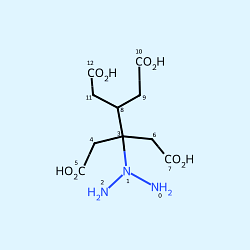 NN(N)C(CC(=O)O)(CC(=O)O)C(CC(=O)O)CC(=O)O